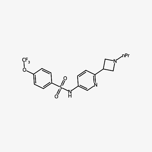 CCCN1CC(c2ccc(NS(=O)(=O)c3ccc(OC(F)(F)F)cc3)cn2)C1